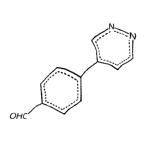 O=Cc1ccc(-c2ccnnc2)cc1